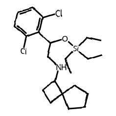 CC[Si](CC)(CC)OC(CNC1CCC12CCCC2)c1c(Cl)cccc1Cl